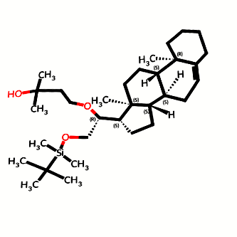 CC(C)(O)CCO[C@@H](CO[Si](C)(C)C(C)(C)C)[C@H]1CC[C@H]2[C@@H]3CC=C4CCCC[C@]4(C)[C@H]3CC[C@]12C